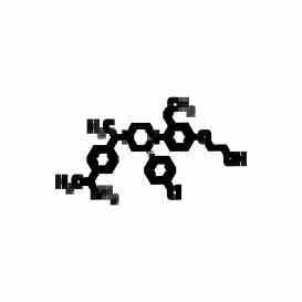 C=Cc1cc(OCCO)ccc1N1CCN([C@H](C)c2ccc(C(=C)N)cc2)C[C@H]1c1ccc(Cl)cc1